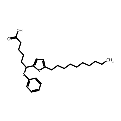 CCCCCCCCCCc1ccc(C(CCCCC(=O)O)Sc2ccccc2)s1